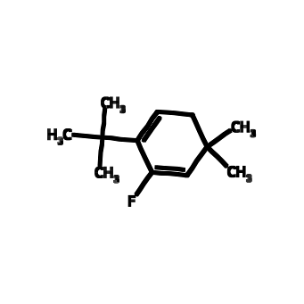 CC1(C)C=C(F)C(C(C)(C)C)=CC1